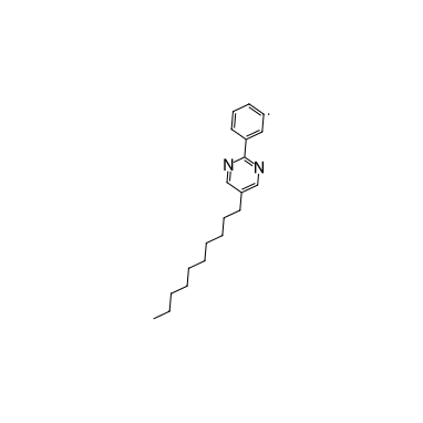 CCCCCCCCCCc1cnc(-c2c[c]ccc2)nc1